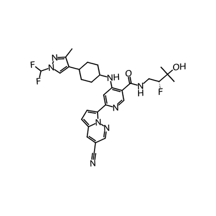 Cc1nn(C(F)F)cc1C1CCC(Nc2cc(-c3ccc4cc(C#N)cnn34)ncc2C(=O)NC[C@@H](F)C(C)(C)O)CC1